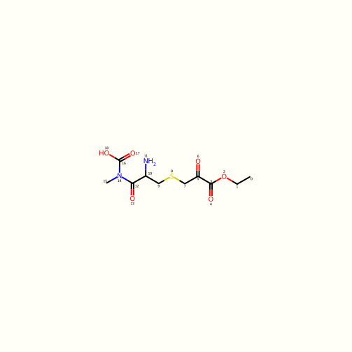 CCOC(=O)C(=O)CSCC(N)C(=O)N(C)C(=O)O